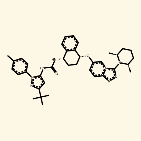 Cc1ccc(-n2nc(C(C)(C)C)cc2NC(=O)N[C@H]2CC[C@@H](Oc3ccc4nnc(N5[C@H](C)CCC[C@@H]5C)n4c3)c3ccccc32)cc1